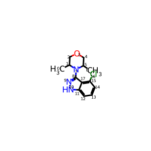 CC1COCC(C)N1c1n[nH]c2cccc(Cl)c12